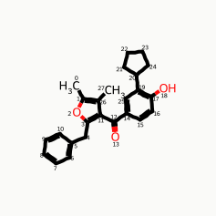 Cc1oc(Cc2ccccc2)c(C(=O)c2ccc(O)c(C3CCCC3)c2)c1C